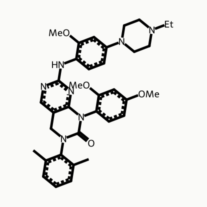 CCN1CCN(c2ccc(Nc3ncc4c(n3)N(c3ccc(OC)cc3OC)C(=O)N(c3c(C)cccc3C)C4)c(OC)c2)CC1